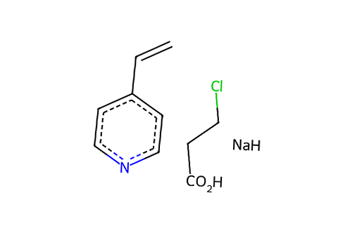 C=Cc1ccncc1.O=C(O)CCCl.[NaH]